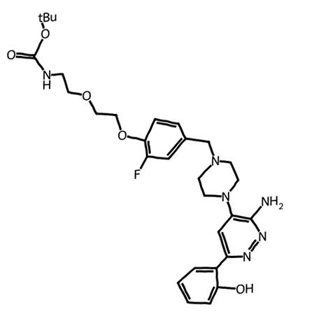 CC(C)(C)OC(=O)NCCOCCOc1ccc(CN2CCN(c3cc(-c4ccccc4O)nnc3N)CC2)cc1F